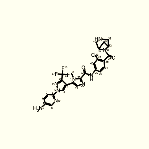 Cn1c(-c2cn(-c3ccc(N)cn3)nc2C(F)(F)F)cnc1C(=O)Nc1ccc(C(=O)N2C3CNCC2C3)c(Cl)c1